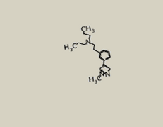 CCCN(CCC)CCc1cccc(-c2cnn(C)c2)c1